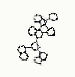 c1ccc(-n2c3ccccc3c3c4c5ccccc5c(-c5cc(-c6cccc7ccccc67)cc(-c6cccc7ccccc67)n5)cc4c4ccccc4c32)cc1